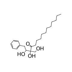 CCCCCCCCCCCC(=O)C(O)(CO)C(O)Cc1ccccc1